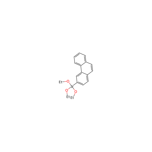 CCO[Si](OCC)(OCC)c1ccc2ccc3ccccc3c2c1